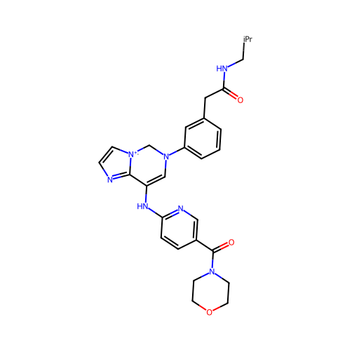 CC(C)CNC(=O)Cc1cccc(N2C=C(Nc3ccc(C(=O)N4CCOCC4)cn3)C3=NC=C[N+]3C2)c1